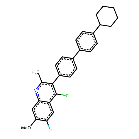 COc1cc2nc(C)c(-c3ccc(-c4ccc(C5CCCCC5)cc4)cc3)c(Cl)c2cc1F